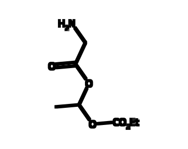 CCOC(=O)OC(C)OC(=O)CN